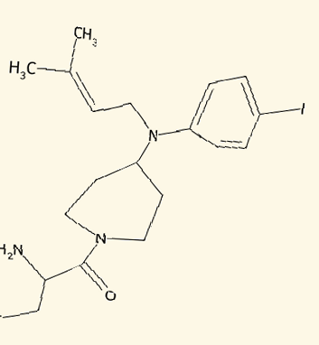 CC(C)=CCN(c1ccc(I)cc1)C1CCN(C(=O)C(N)CC(C)C)CC1